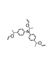 C=COC(C)c1ccc(N(c2ccc(C(C)OC=C)cc2)C(C)OC=C)cc1